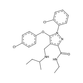 CCNC(=O)c1nn(-c2ccccc2Cl)c(Oc2ccc(Cl)cc2)c1CNC(C)CC